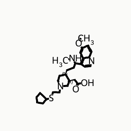 CNC(CC[C@@H]1CCN(CCSC2CCCC2)C[C@@H]1CC(=O)O)c1ccnc2ccc(OC)cc12